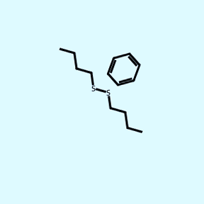 CCCCSSCCCC.c1ccccc1